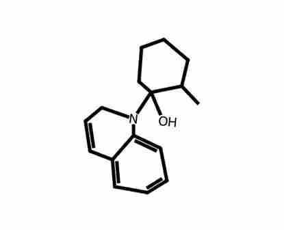 CC1CCCCC1(O)N1CC=Cc2ccccc21